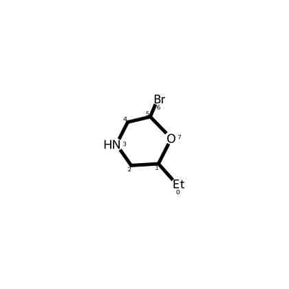 CCC1CNCC(Br)O1